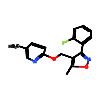 Cc1onc(-c2ccccc2F)c1COc1ccc(C(=O)O)cn1